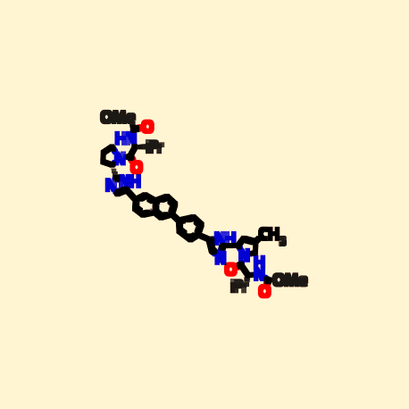 COC(=O)N[C@H](C(=O)N1CC(C)=CC1c1ncc(-c2ccc(-c3ccc4cc(-c5cnc([C@@H]6CCCN6C(=O)[C@@H](NC(=O)OC)C(C)C)[nH]5)ccc4c3)cc2)[nH]1)C(C)C